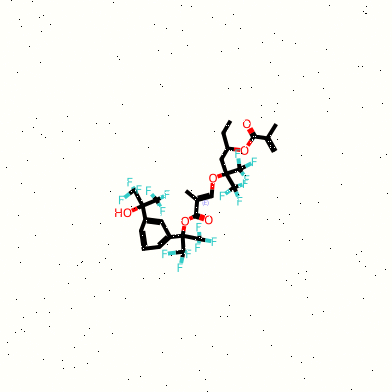 C=C(C)C(=O)OC(CC)CC(O/C=C(\C)C(=O)OC(c1cccc(C(O)(C(F)(F)F)C(F)(F)F)c1)(C(F)(F)F)C(F)(F)F)(C(F)(F)F)C(F)(F)F